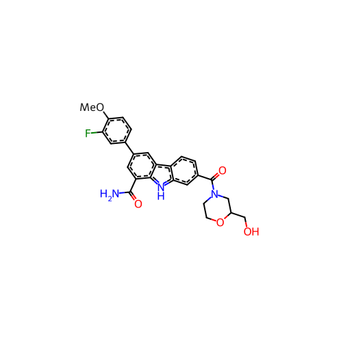 COc1ccc(-c2cc(C(N)=O)c3[nH]c4cc(C(=O)N5CCOC(CO)C5)ccc4c3c2)cc1F